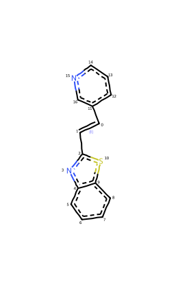 C(=C\c1nc2ccccc2s1)/c1cccnc1